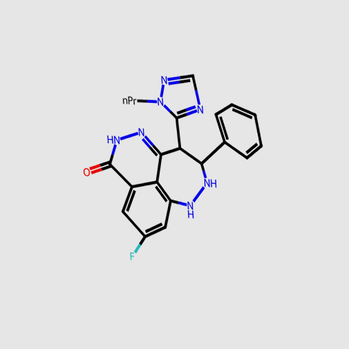 CCCn1ncnc1C1c2n[nH]c(=O)c3cc(F)cc(c23)NNC1c1ccccc1